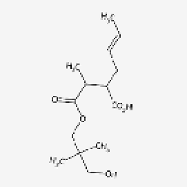 CC=CCC(C(=O)O)C(C)C(=O)OCC(C)(C)CO